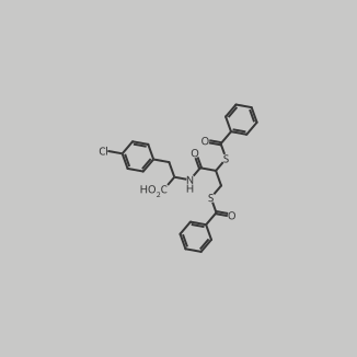 O=C(SCC(SC(=O)c1ccccc1)C(=O)NC(Cc1ccc(Cl)cc1)C(=O)O)c1ccccc1